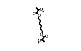 C=C(OC)C(=O)OCCCCCCOC(=O)C(=C)OC